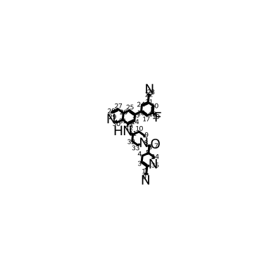 N#CC1=CCC(C(=O)N2CCC(NC3=CC(c4cc(F)cc(C#N)c4)=CC4C=CN=CC34)CC2)C=N1